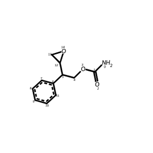 NC(=O)OCC(c1ccccc1)C1CO1